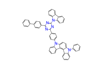 c1ccc(-c2ccc(-c3nc(-c4ccc(-n5c6ccccc6c6c7c8ccccc8n(-c8ccccc8)c7ccc65)cc4)nc(-n4c5ccccc5c5ccccc54)n3)cc2)cc1